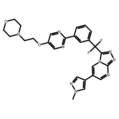 Cn1cc(-c2cnc3nnc(C(F)(F)c4cccc(-c5ncc(OCCN6CCOCC6)cn5)c4)n3c2)cn1